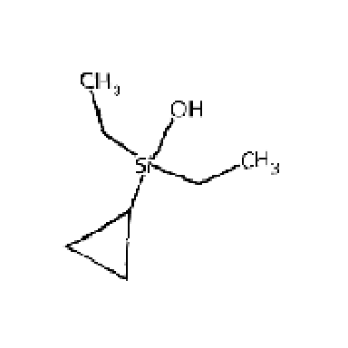 CC[Si](O)(CC)C1CC1